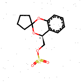 O=[SH](=O)OC[C@H]1OC2(CCCC2)Oc2ccccc21